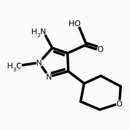 Cn1nc(C2CCOCC2)c(C(=O)O)c1N